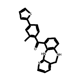 Cc1cc(-c2cccs2)ccc1C(=O)c1cccc2c1Nc1ncccc1CN2